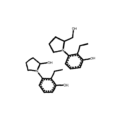 CCc1c(O)cccc1N1CCCC1CO.CCc1c(O)cccc1N1CCCC1O